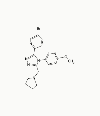 COc1ccc(-n2c(CN3CCCC3)nnc2-c2ccc(Br)cn2)cn1